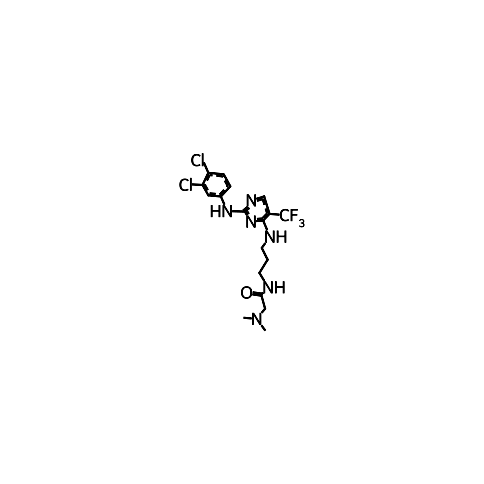 CN(C)CC(=O)NCCCNc1nc(Nc2ccc(Cl)c(Cl)c2)ncc1C(F)(F)F